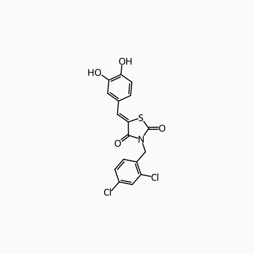 O=C1S/C(=C\c2ccc(O)c(O)c2)C(=O)N1Cc1ccc(Cl)cc1Cl